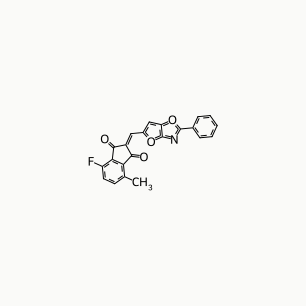 Cc1ccc(F)c2c1C(=O)/C(=C\c1cc3oc(-c4ccccc4)nc3o1)C2=O